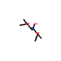 CCCCCCCCC(CCCCCC)C(=O)OCCCCCC1CCC(CCCCOC(=O)C(CCCCCC)CCCCCCCC)CN1CCCCO